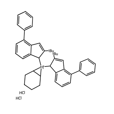 CC(C)(C)C1=Cc2c(-c3ccccc3)cccc2[CH]1[Hf]1([CH]2C(C(C)(C)C)=Cc3c(-c4ccccc4)cccc32)[CH]2CCCC[CH]21.Cl.Cl